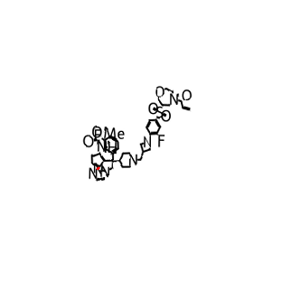 C=CC(=O)N1CCOC[C@@H](S(=O)(=O)c2ccc(N3CC(CN4CCC([C@@](Cn5ccnn5)(c5cccc(F)c5)[C@H]5CCC[C@@H]5NC(=O)OC)CC4)C3)c(F)c2)C1